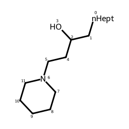 CCCCCCCCC(O)CCN1CCCCC1